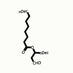 CCCCCCCCCCCCCCCCC(=O)OC(CC=O)CCCCCCCCCC